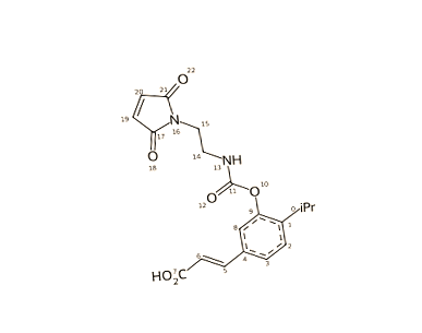 CC(C)c1ccc(/C=C/C(=O)O)cc1OC(=O)NCCN1C(=O)C=CC1=O